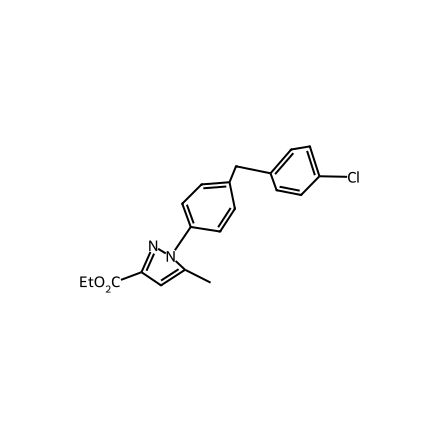 CCOC(=O)c1cc(C)n(-c2ccc(Cc3ccc(Cl)cc3)cc2)n1